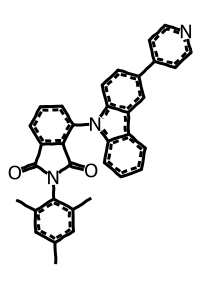 Cc1cc(C)c(N2C(=O)c3cccc(-n4c5ccccc5c5cc(-c6ccncc6)ccc54)c3C2=O)c(C)c1